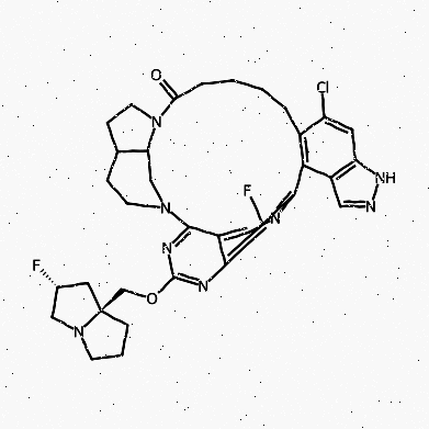 O=C1CCCCc2c(Cl)cc3[nH]ncc3c2-c2ncc3c(nc(OC[C@@]45CCCN4C[C@H](F)C5)nc3c2F)N2CCC3CCN1C3C2